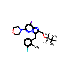 Cc1c(F)cccc1Cc1c(CO[Si](C)(C)C(C)(C)C)nc2c(I)cc(N3CCOCC3)nn12